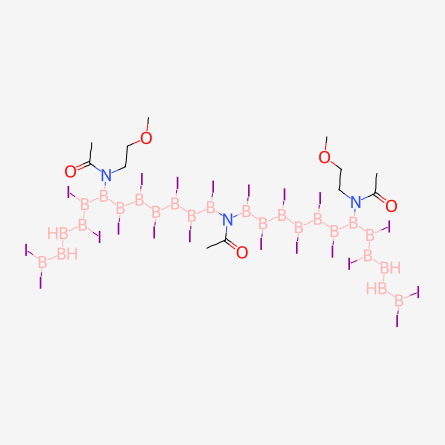 COCCN(B(B(I)B(I)BBB(I)I)B(I)B(I)B(I)B(I)B(I)B(I)N(B(I)B(I)B(I)B(I)B(I)B(I)B(B(I)B(I)BBB(I)I)N(CCOC)C(C)=O)C(C)=O)C(C)=O